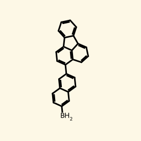 Bc1ccc2cc(-c3ccc4c5c(cccc35)-c3ccccc3-4)ccc2c1